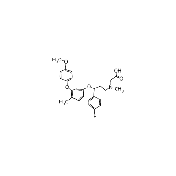 COc1ccc(Oc2cc(OC(CCN(C)CC(=O)O)c3ccc(F)cc3)ccc2C)cc1